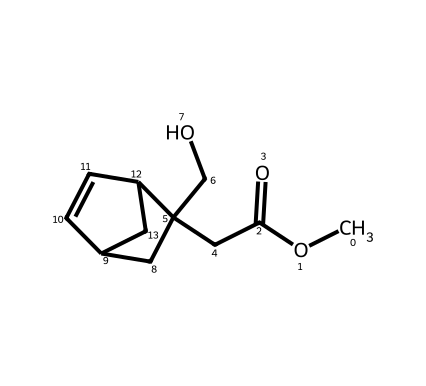 COC(=O)CC1(CO)CC2C=CC1C2